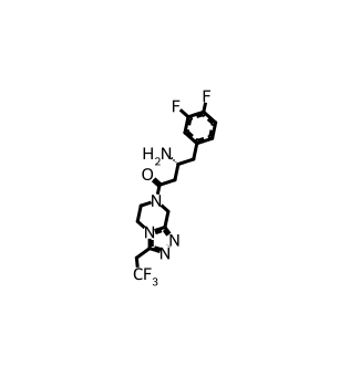 N[C@@H](CC(=O)N1CCn2c(nnc2CC(F)(F)F)C1)Cc1ccc(F)c(F)c1